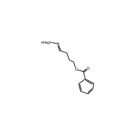 CCCCCCCN=CCCCOC(=O)c1ccccc1